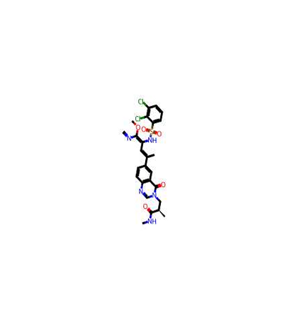 C=N/C(OC)=C(\C=C(/C)c1ccc2ncn(C[C@@H](C)C(=O)NC)c(=O)c2c1)NS(=O)(=O)c1cccc(Cl)c1Cl